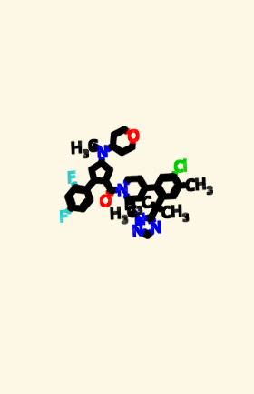 Cc1cc(C(C)(C)c2ncnn2C)c(C2CCN(C(=O)C3CC(N(C)C4CCOCC4)CC3c3ccc(F)cc3F)CC2)cc1Cl